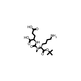 CN(C(=O)NC(CCC(=O)O)C(=O)O)[C@@H](CCCCN)C(=O)OC(C)(C)C